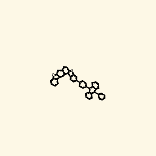 c1ccc(-c2c3ccccc3c(-c3ccc(-c4ccc5c(c4)sc4ccc6cc7oc8ccccc8c7cc6c45)cc3)c3ccccc23)cc1